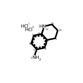 Cl.Cl.Nc1ccc2c(c1)CCCN2